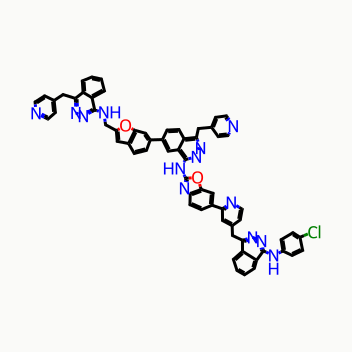 Clc1ccc(Nc2nnc(Cc3ccnc(-c4ccc5nc(Nc6nnc(Cc7ccncc7)c7ccc(-c8ccc9cc(CNc%10nnc(Cc%11ccncc%11)c%11ccccc%10%11)oc9c8)cc67)oc5c4)c3)c3ccccc23)cc1